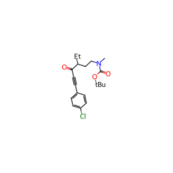 CCC(CCN(C)C(=O)OC(C)(C)C)C(=O)C#Cc1ccc(Cl)cc1